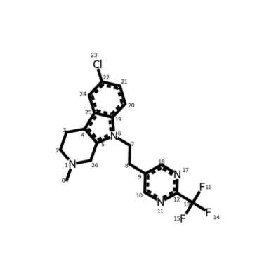 CN1CCc2c(n(CCc3cnc(C(F)(F)F)nc3)c3ccc(Cl)cc23)C1